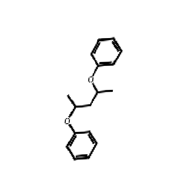 CC(CC(C)Oc1ccccc1)Oc1ccccc1